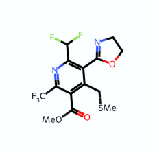 COC(=O)c1c(C(F)(F)F)nc(C(F)F)c(C2=NCCO2)c1CSC